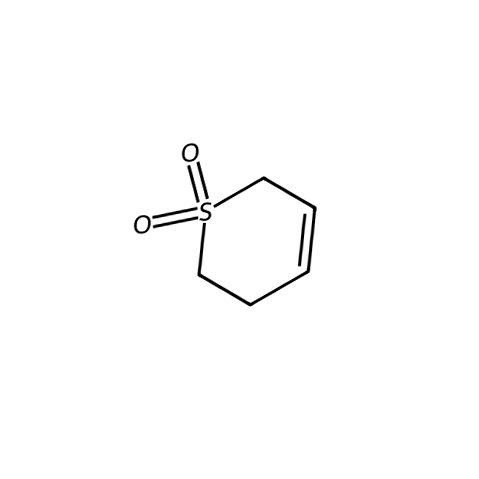 O=S1(=O)CC=CCC1